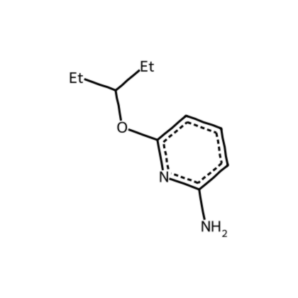 CCC(CC)Oc1cccc(N)n1